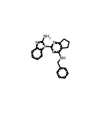 Nc1nc2ccccc2n1-c1nc2c(c(NCc3ccccc3)n1)CCC2